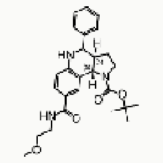 COCCNC(=O)c1ccc2c(c1)[C@@H]1[C@@H](CCN1C(=O)OC(C)(C)C)C(c1ccccc1)N2